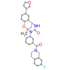 CC12CC(NC(=O)N1c1cccc(C(=O)N3CCc4ccc(F)cc4C3)c1)c1cc(-c3ccoc3)ccc1O2